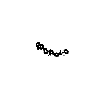 CC1(C)c2ccccc2-c2ccc(-c3ccc4oc5c(ccc6c7cc(-c8cnc(-c9ccccc9)nc8)ccc7oc65)c4c3)cc21